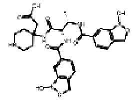 C[C@H](NC(=O)c1ccc2c(c1)B(O)OC2)[C@H](NC(=O)c1ccc2c(c1)B(O)OC2)C(=O)NC1(CC(=O)O)CCNCC1